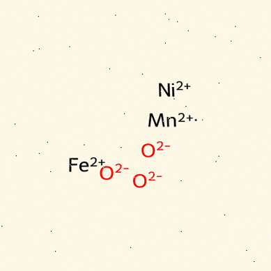 [Fe+2].[Mn+2].[Ni+2].[O-2].[O-2].[O-2]